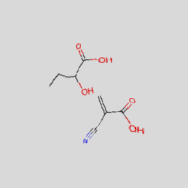 C=C(C#N)C(=O)O.CCC(O)C(=O)O